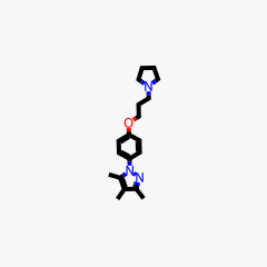 Cc1nn(-c2ccc(OCCCN3CCCC3)cc2)c(C)c1C